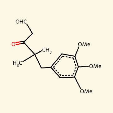 COc1cc(CC(C)(C)C(=O)CC=O)cc(OC)c1OC